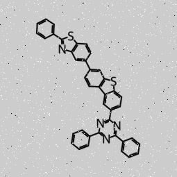 c1ccc(-c2nc(-c3ccccc3)nc(-c3ccc4sc5cc(-c6ccc7sc(-c8ccccc8)nc7c6)ccc5c4c3)n2)cc1